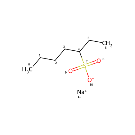 CCCCC(CC)S(=O)(=O)[O-].[Na+]